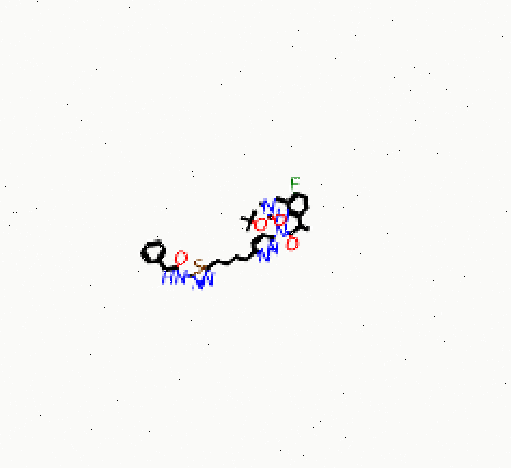 CC(C(=O)Nc1ccc(CCCCc2nnc(NC(=O)Cc3ccccc3)s2)nn1)c1ccc(F)c(CN(C)C(=O)OC(C)(C)C)c1